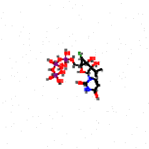 C=C(C)[C@]1(O)[C@H](n2ccc(=O)[nH]c2=O)O[C@@]2(COP(=O)(O)OP(=O)(O)OP(=O)(O)O)C(F)[C@@]21O